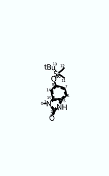 Cn1c(=O)[nH]c2ccc(O[Si](C)(C)C(C)(C)C)cc21